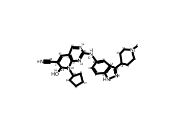 CN1CCC(c2n[nH]c3ccc(Nc4ncc5c(n4)N(C4CCCC4)C(O)C(C#N)=C5)cc23)CC1